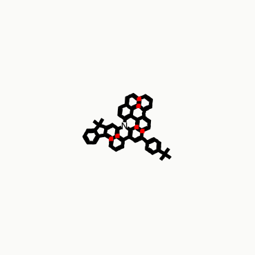 CC(C)(C)c1ccc(-c2ccc(N(c3ccc4c(c3)C(C)(C)c3ccccc3-4)c3ccc4ccccc4c3-c3ccccc3-c3ccccc3)c(-c3ccccc3)c2)cc1